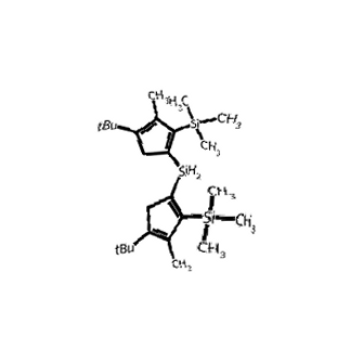 CC1=C(C(C)(C)C)CC([SiH2]C2=C([Si](C)(C)C)C(C)=C(C(C)(C)C)C2)=C1[Si](C)(C)C